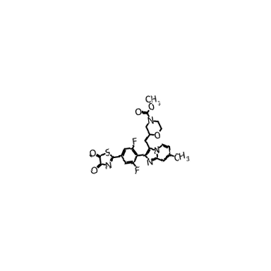 COC(=O)N1CCOC(Cc2c(-c3c(F)cc(C4=NC(=O)C(=O)S4)cc3F)nc3cc(C)ccn23)C1